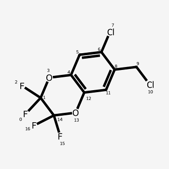 FC1(F)Oc2cc(Cl)c(CCl)cc2OC1(F)F